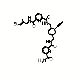 CC#C[C@H]1CC(CNC(=O)c2cccc(C(N)=O)n2)=CC=C1CNC(=O)c1cccc(C(=O)NC/C(C)=C/CC)n1